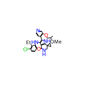 CCc1c(Cl)cccc1Nc1c(-c2ccncc2OCC(C)OC)[nH]c2c1C(=O)NCC21CC1